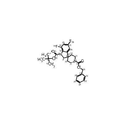 CC(C)(C)OC(=O)N1CC2(CCN(C(=O)OCc3ccccc3)CC2)c2cc(F)cc(F)c21